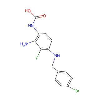 Nc1c(NC(=O)O)ccc(NCc2ccc(Br)cc2)c1F